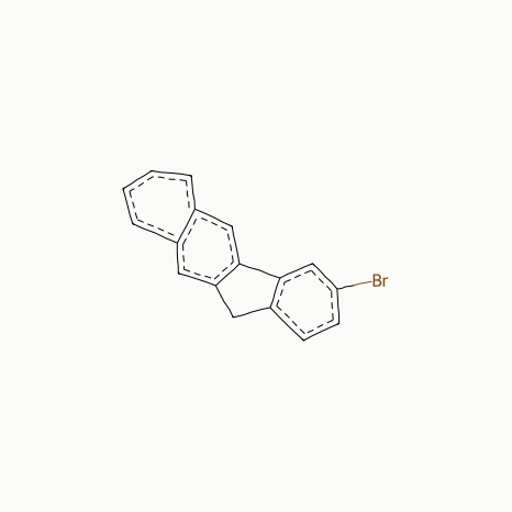 Brc1ccc2c(c1)-c1cc3ccccc3cc1C2